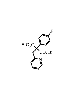 CCOC(=O)C(Cc1ccccn1)(C(=O)OCC)c1ccc(F)cc1